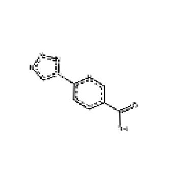 O=C(O)c1ccc(-n2cnnn2)nc1